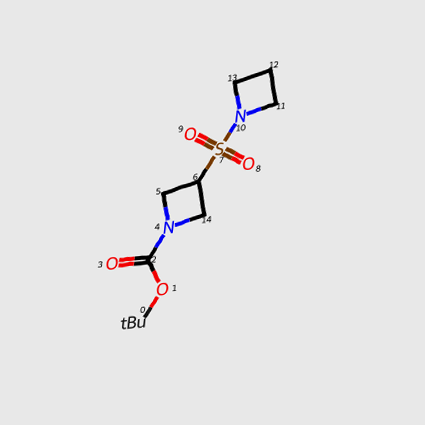 CC(C)(C)OC(=O)N1CC(S(=O)(=O)N2CCC2)C1